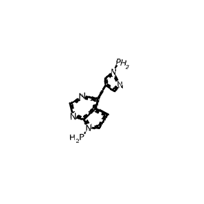 Pn1cc(-c2ncnc3c2ccn3P)cn1